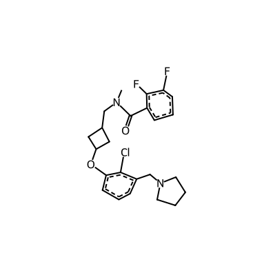 CN(CC1CC(Oc2cccc(CN3CCCC3)c2Cl)C1)C(=O)c1cccc(F)c1F